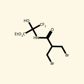 CCOC(=O)C(O)(NC(=O)C(CBr)CBr)C(F)(F)F